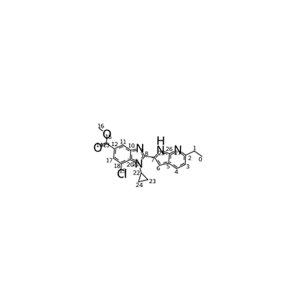 CCc1ccc2cc(-c3nc4cc(C(=O)OC)cc(Cl)c4n3C3CC3)[nH]c2n1